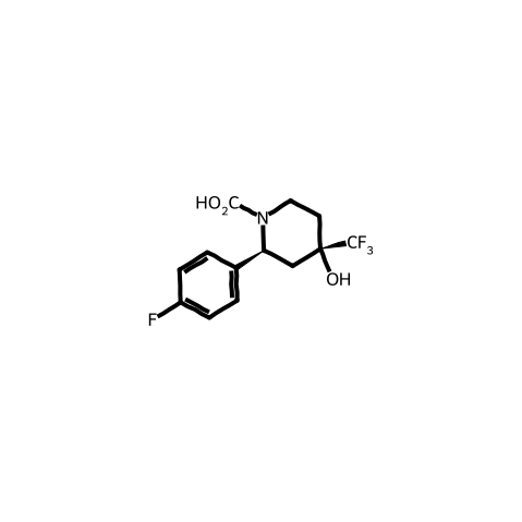 O=C(O)N1CC[C@@](O)(C(F)(F)F)C[C@H]1c1ccc(F)cc1